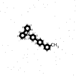 Cc1cccc(-c2ccc(-c3ccc(-n4c5ccccc5c5ccccc54)cc3)cc2)c1